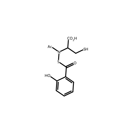 CC(=O)N(SC(=O)c1ccccc1O)C(CS)C(=O)O